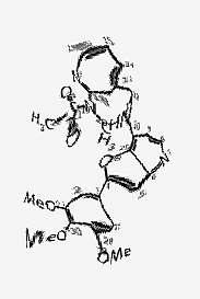 COc1cc(-c2cc3nccc(NCc4cccnc4N(C)S(C)(=O)=O)c3o2)cc(OC)c1OC